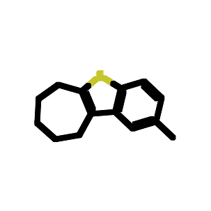 Cc1ccc2sc3c(c2c1)CCCCC3